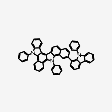 c1ccc(-n2c3ccccc3c3cccc(-c4ccc5ccc6c7c8c9ccccc9n(-c9ccccc9)c8c8ccccc8c7n(-c7ccccc7)c6c5c4)c32)cc1